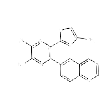 Cc1coc(-c2nc(N)c(C#N)nc2-c2ccc3ncccc3c2)n1